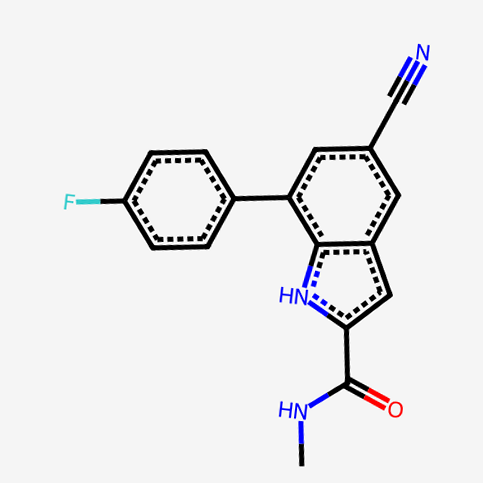 CNC(=O)c1cc2cc(C#N)cc(-c3ccc(F)cc3)c2[nH]1